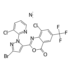 O=c1oc(-c2cc(Br)nn2-c2ncccc2Cl)nc2c(Cl)cc(C(F)(F)F)cc12.[N]